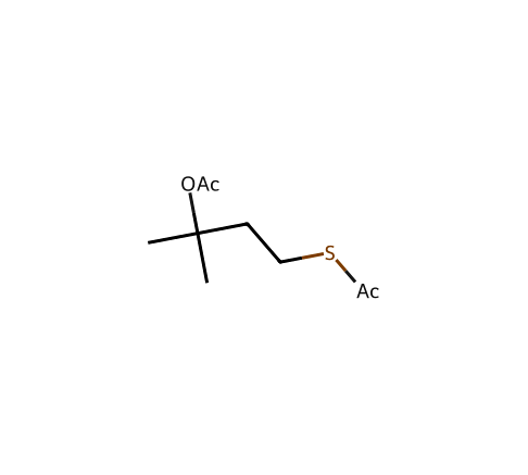 CC(=O)OC(C)(C)CCSC(C)=O